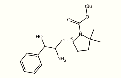 CC(C)(C)OC(=O)N1[C@@H](CC(N)C(O)c2ccccc2)CCC1(C)C